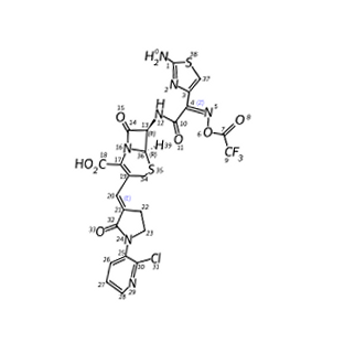 Nc1nc(/C(=N/OC(=O)C(F)(F)F)C(=O)N[C@@H]2C(=O)N3C(C(=O)O)=C(/C=C4\CCN(c5cccnc5Cl)C4=O)CS[C@H]23)cs1